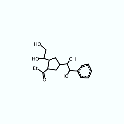 CCC(=O)C1CC(C(O)C(O)c2ccccc2)CC1C(O)CO